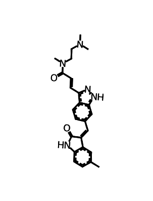 Cc1ccc2c(c1)C(=Cc1ccc3c(/C=C/C(=O)N(C)CCN(C)C)n[nH]c3c1)C(=O)N2